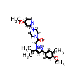 COc1ccnc(N2CCN(C(=O)Cn3nc(-c4ccc(OC)c(C)c4)cc3C(C)C)CC2)c1